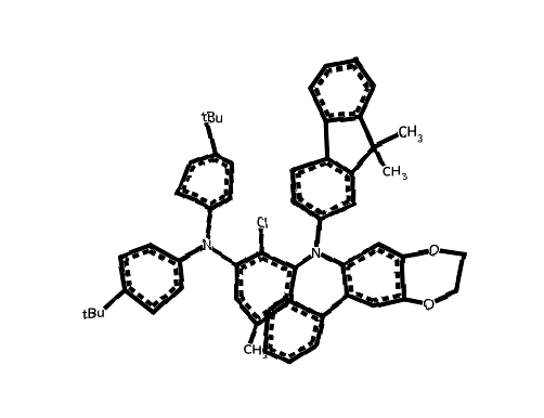 Cc1cc(N(c2ccc(C(C)(C)C)cc2)c2ccc(C(C)(C)C)cc2)c(Cl)c(N(c2ccc3c(c2)C(C)(C)c2ccccc2-3)c2cc3c(cc2-c2ccccc2)OCCO3)c1